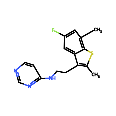 Cc1sc2c(C)cc(F)cc2c1CCNc1ccncn1